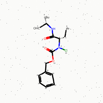 CCCC[C@@H](C=O)NC(=O)[C@H](CC(C)C)N(Cl)C(=O)OCc1ccccc1